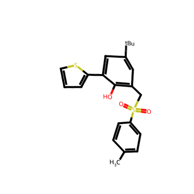 Cc1ccc(S(=O)(=O)Cc2cc(C(C)(C)C)cc(-c3cccs3)c2O)cc1